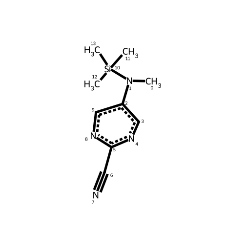 CN(c1cnc(C#N)nc1)[Si](C)(C)C